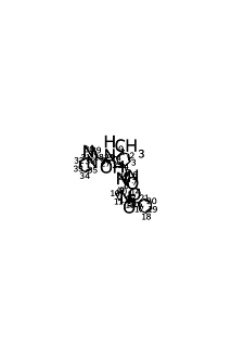 Cc1ccc(-c2noc([C@H]3CCN3S(=O)(=O)c3ccccc3)n2)cc1NC(O)c1cnc2ccccn12